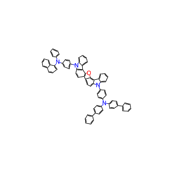 c1ccc(-c2ccc(N(c3ccc(-c4ccccc4)cc3)c3ccc(-n4c5ccccc5c5c6oc7c(ccc8c7c7ccccc7n8-c7ccc(N(c8ccccc8)c8cccc9ccccc89)cc7)c6ccc54)cc3)cc2)cc1